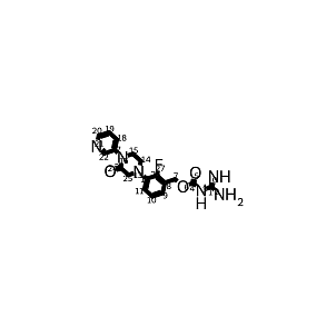 N=C(N)NC(=O)OCc1cccc(N2CCN(c3cccnc3)C(=O)C2)c1F